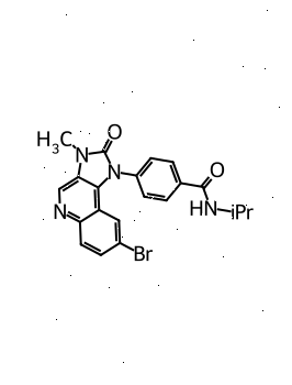 CC(C)NC(=O)c1ccc(-n2c(=O)n(C)c3cnc4ccc(Br)cc4c32)cc1